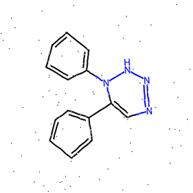 [C]1=C(c2ccccc2)N(c2ccccc2)NN=N1